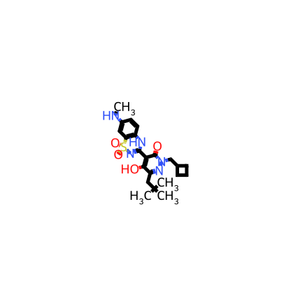 CNc1ccc2c(c1)S(=O)(=O)N=C(c1c(O)c(CC(C)(C)C)nn(CC3CCC3)c1=O)N2